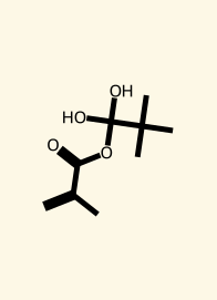 C=C(C)C(=O)OC(O)(O)C(C)(C)C